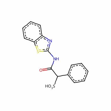 O=C(Nc1nc2ccccc2s1)C(c1ccccc1)S(=O)(=O)O